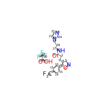 O=C(CCc1cnoc1-c1ccc(C(F)(F)F)cc1)NCCCn1ccnc1.O=C(O)C(F)(F)F